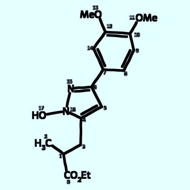 CCOC(=O)C(C)Cc1cc(-c2ccc(OC)c(OC)c2)nn1O